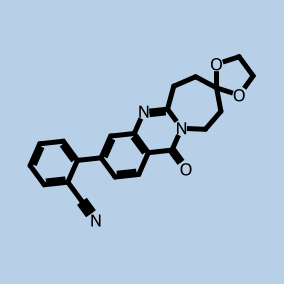 N#Cc1ccccc1-c1ccc2c(=O)n3c(nc2c1)CCC1(CC3)OCCO1